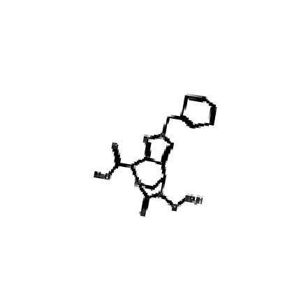 COC(=O)C1c2nn(Cc3ccccc3)cc2C2CN1C(=O)N2OS(=O)(=O)O